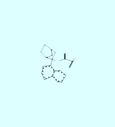 C=C(C)C(=O)OC1(c2cccc3ccccc23)CC2CCC1C2